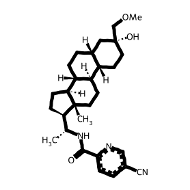 COC[C@@]1(O)CC[C@H]2[C@H](CC[C@@H]3[C@@H]2CC[C@]2(C)[C@@H]([C@@H](C)NC(=O)c4ccc(C#N)cn4)CC[C@@H]32)C1